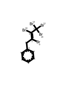 BrC(Cc1ccccc1)=C(Br)C(Br)(Br)Br